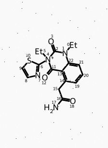 CCN1C(=O)[N+](CC)(c2nccs2)C(=O)c2c(CC(N)=O)cccc21